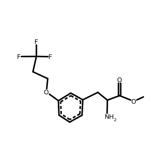 COC(=O)C(N)Cc1cccc(OCCC(F)(F)F)c1